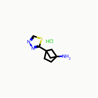 Cl.NC12CCC(c3nncs3)(C1)C2